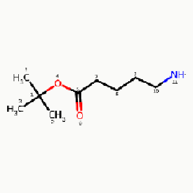 CC(C)(C)OC(=O)CCCC[NH]